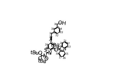 CC(C)(C)OC(=O)N(OC(C)(C)C)c1nc2c(O[Si](c3ccccc3)(c3ccccc3)C(C)(C)C)cc(C#CCc3cccc(CO)c3)cc2s1